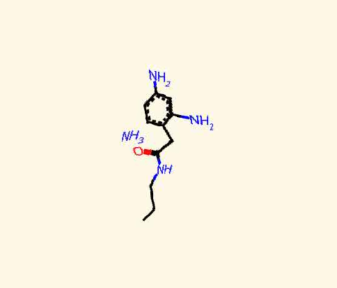 CCCNC(=O)Cc1ccc(N)cc1N.N